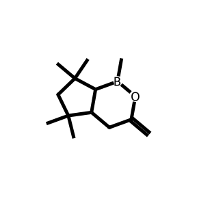 C=C1CC2C(B(C)O1)C(C)(C)CC2(C)C